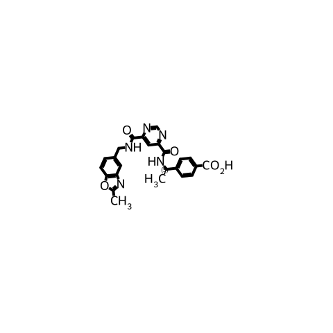 Cc1nc2cc(CNC(=O)c3cc(C(=O)N[C@@H](C)c4ccc(C(=O)O)cc4)ncn3)ccc2o1